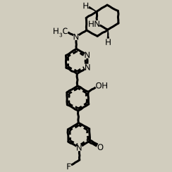 CN(c1ccc(-c2ccc(-c3ccn(CF)c(=O)c3)cc2O)nn1)C1C[C@H]2CCC[C@@H](C1)N2